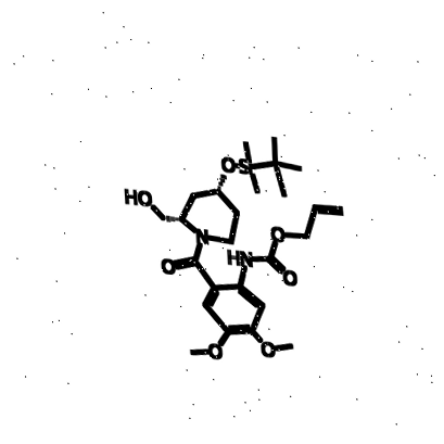 C=CCOC(=O)Nc1cc(OC)c(OC)cc1C(=O)N1CC[C@@H](O[Si](C)(C)C(C)(C)C)C[C@H]1CO